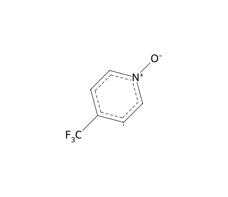 [O-][n+]1c[c]c(C(F)(F)F)cc1